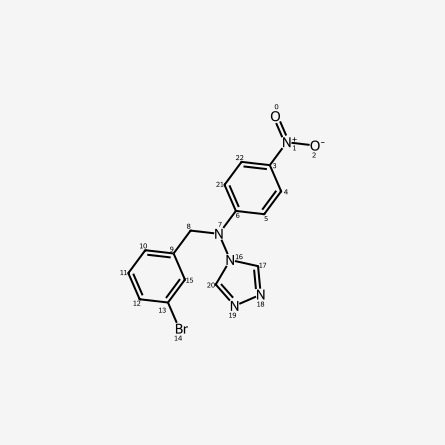 O=[N+]([O-])c1ccc(N(Cc2cccc(Br)c2)n2cnnc2)cc1